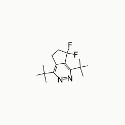 CC(C)(C)c1nnc(C(C)(C)C)c2c1CCC2(F)F